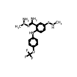 CNSc1ccc(Nc2ccc(OC(F)(F)F)cc2)c(/C(N)=N/N(C)N)c1